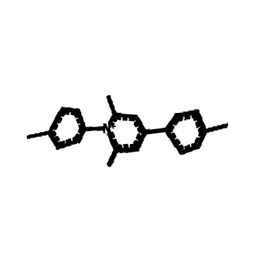 Cc1ccc(-c2cc(C)[n+](-c3ccc(C)cc3)c(C)c2)cc1